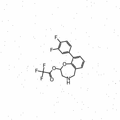 O=C(OC1CNCc2cccc(-c3ccc(F)c(F)c3)c2O1)C(F)(F)F